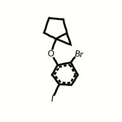 Brc1ccc(I)cc1OC12CCCC1C2